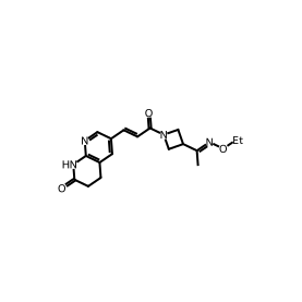 CCON=C(C)C1CN(C(=O)C=Cc2cnc3c(c2)CCC(=O)N3)C1